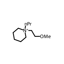 CCC[N+]1(CCOC)CCCCC1